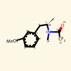 COc1cccc(C[C@H](C)N(C)C(=O)C(F)(F)F)c1